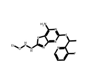 CCOPNc1nc2nc(SC(C)c3ncccc3F)nc(N)c2s1